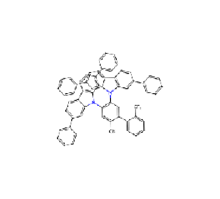 N#Cc1cc(-n2c3cc(-c4ccccc4)ccc3c3ccc(-c4ccccc4)cc32)c(-n2c3cc(-c4ccccc4)ccc3c3ccc(-c4ccccc4)cc32)cc1-c1ccccc1C(F)(F)F